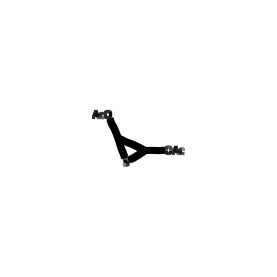 CC(=O)OC1SC1OC(C)=O